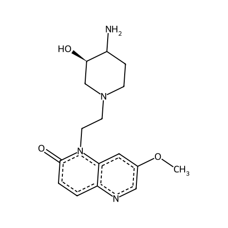 COc1cnc2ccc(=O)n(CCN3CCC(N)[C@H](O)C3)c2c1